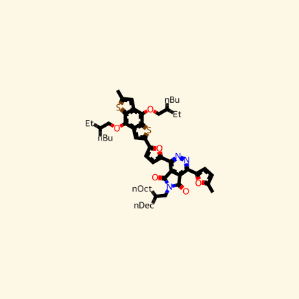 CCCCCCCCCCC(CCCCCCCC)CN1C(=O)c2c(-c3ccc(C)o3)nnc(-c3ccc(-c4cc5c(OCC(CC)CCCC)c6sc(C)cc6c(OCC(CC)CCCC)c5s4)o3)c2C1=O